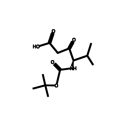 CC(C)[C@@H](NC(=O)OC(C)(C)C)C(=O)CC(=O)O